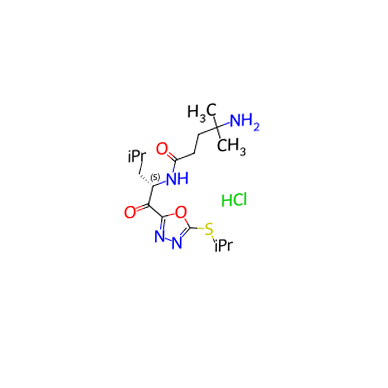 CC(C)C[C@H](NC(=O)CCC(C)(C)N)C(=O)c1nnc(SC(C)C)o1.Cl